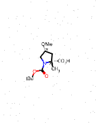 CO[C@H]1CN(C(=O)OC(C)(C)C)[C@@](C)(C(=O)O)C1